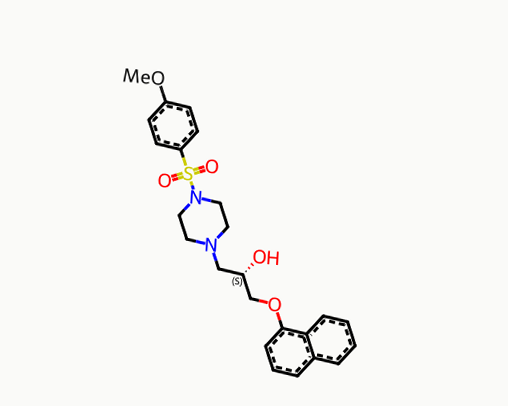 COc1ccc(S(=O)(=O)N2CCN(C[C@H](O)COc3cccc4ccccc34)CC2)cc1